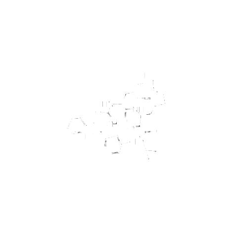 CCCC[C@H](NC(=O)O[C@@H](c1ccccc1)C(C)(C)c1cccc(Cl)c1)C(=O)N[C@@H](C[C@@H]1CCNC1=O)C(=O)C(=O)NC1CC1